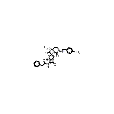 BOC(=O)[C@@]1(N2CCCN(/N=C/c3ccc(C)cc3)C2=O)CN2C(=O)[C@@H](NC(=O)Cc3ccccc3)[C@H]2S1